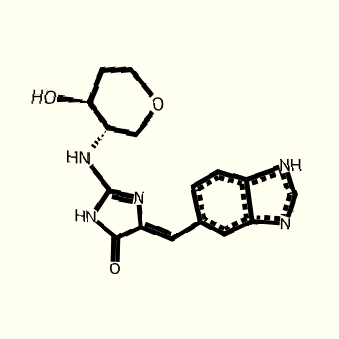 O=C1NC(N[C@H]2COCC[C@@H]2O)=N/C1=C\c1ccc2[nH]cnc2c1